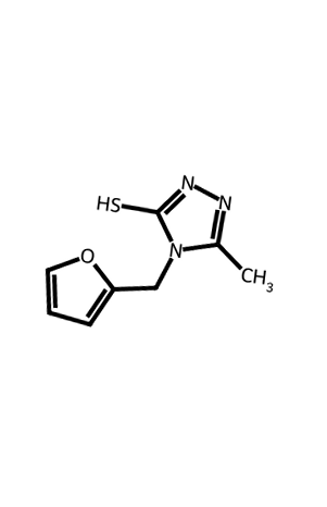 Cc1nnc(S)n1Cc1ccco1